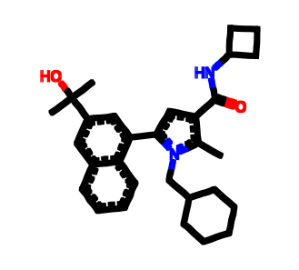 Cc1c(C(=O)NC2CCC2)cc(-c2cc(C(C)(C)O)cc3ccccc23)n1CC1CCCCC1